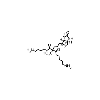 NCCCCCC(=O)C(CCC[C@@H]1SC[C@@H]2NC(=O)N[C@@H]21)(C(=O)O)C(=O)CCCCCN